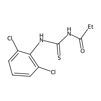 CCC(=O)NC(=S)Nc1c(Cl)cccc1Cl